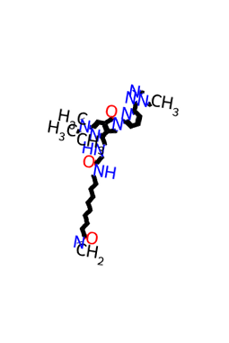 C=NC(=O)CCCCCCCCCNC(=O)CNCc1nc(N(C)C(C)C)cc2c1CN(c1cccc(-c3nncn3CC)n1)C2=O